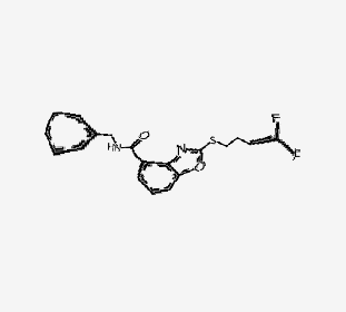 O=C(NCc1ccccc1)c1cccc2oc(SCCC=C(F)F)nc12